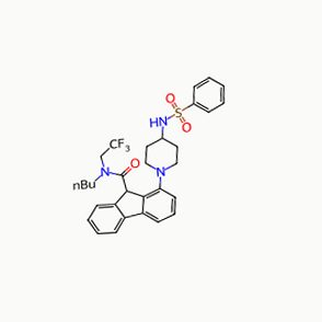 CCCCN(CC(F)(F)F)C(=O)C1c2ccccc2-c2cccc(N3CCC(NS(=O)(=O)c4ccccc4)CC3)c21